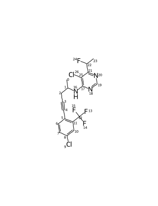 CC(CC#Cc1ccc(Cl)cc1C(F)(F)F)Nc1ncnc(C(C)F)c1Cl